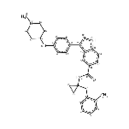 Cc1ccccc1CC1(NC(=O)c2ccc3[nH]nc(-c4ccc(OC5CCN(C)CC5)cc4)c3c2)CC1